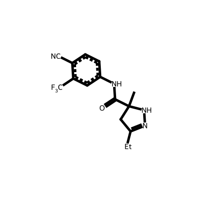 CCC1=NNC(C)(C(=O)Nc2ccc(C#N)c(C(F)(F)F)c2)C1